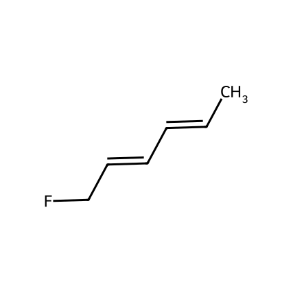 CC=CC=CCF